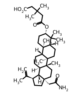 C=C(C)[C@@H]1CC[C@]2(CC(N)=O)CC[C@]3(C)[C@H](CC[C@@H]4[C@@]5(C)CC[C@H](OC(=O)CC(C)(C)CC(=O)O)C(C)(C)[C@@H]5CC[C@]43C)[C@@H]12